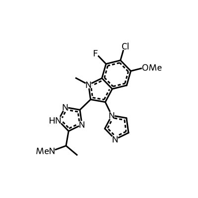 CNC(C)c1nc(-c2c(-n3ccnc3)c3cc(OC)c(Cl)c(F)c3n2C)n[nH]1